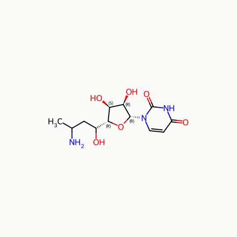 CC(N)CC(O)[C@H]1O[C@@H](n2ccc(=O)[nH]c2=O)[C@H](O)[C@@H]1O